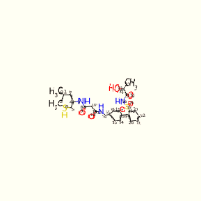 CC(C)C[C@H](CS)NC(=O)CC(=O)NCc1ccc(-c2ccccc2S(=O)(=O)NC(=O)[C@H](C)O)cc1